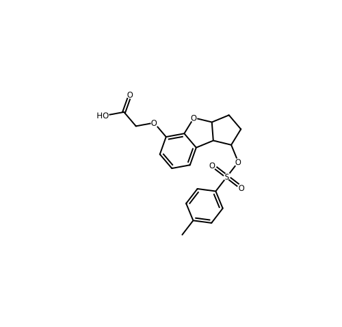 Cc1ccc(S(=O)(=O)OC2CCC3Oc4c(OCC(=O)O)cccc4C32)cc1